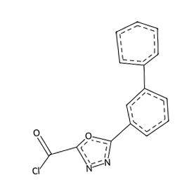 O=C(Cl)c1nnc(-c2cccc(-c3ccccc3)c2)o1